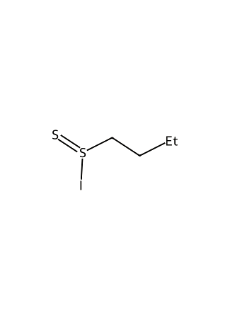 CCCCS(=S)I